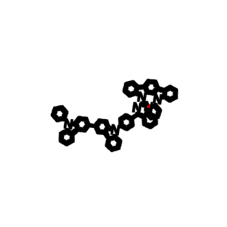 c1ccc(-n2c3ccccc3c3cc(-c4ccc5c(c4)c4ccccc4n5-c4ccc(-c5nc(-n6c7ccccc7c7ccc8c9ccccc9n(-c9ccccc9)c8c76)nc6ccccc56)cc4)ccc32)cc1